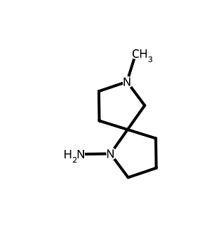 CN1CCC2(CCCN2N)C1